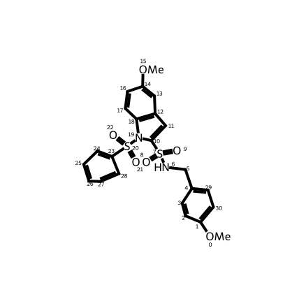 COc1ccc(CNS(=O)(=O)c2cc3cc(OC)ccc3n2S(=O)(=O)c2ccccc2)cc1